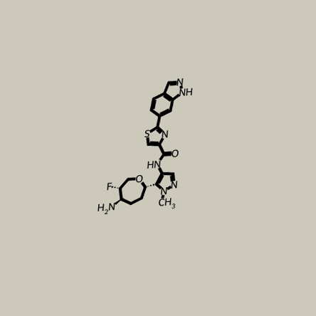 Cn1ncc(NC(=O)c2csc(-c3ccc4cn[nH]c4c3)n2)c1[C@@H]1CC[C@@H](N)[C@H](F)CO1